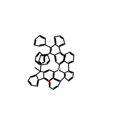 CC1(c2ccccc2)c2ccccc2-c2ccc(N(c3ccc4c(c3)c(-c3ccccc3)c(-c3ccccc3)c3ccccc34)c3c(-c4ccccc4)cccc3-c3ccccc3)cc21